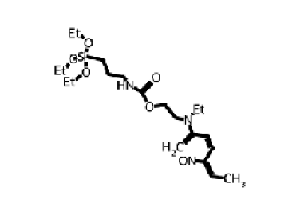 C=C(/C=C\C(=C/C)N=O)N(CC)CCOC(=O)NCCC[Si](OCC)(OCC)OCC